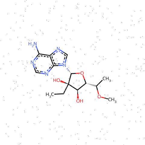 CC[C@@]1(O)[C@H](O)[C@@H](C(C)OC)O[C@H]1n1cnc2c(N)ncnc21